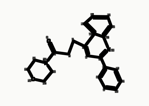 O=C(CCc1cc(-c2ccccc2)nc2ccccc12)N1CCOCC1